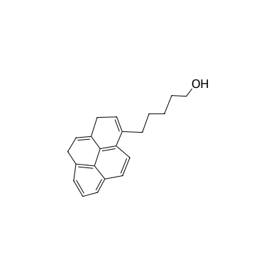 OCCCCCC1=CCC2=CCc3cccc4ccc1c2c34